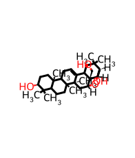 CC1(C)CC2C3=CCC4[C@@]5(C)CC[C@H](O)C(C)(C)C5CC[C@@]4(C)[C@]3(C)C[C@H]3O[C@@H]1[C@H](O)[C@@]23CO